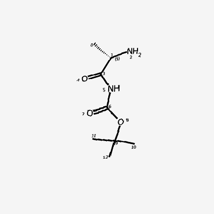 C[C@H](N)C(=O)NC(=O)OC(C)(C)C